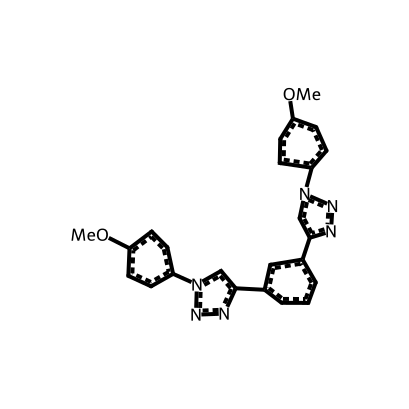 COc1ccc(-n2cc(-c3cccc(-c4cn(-c5ccc(OC)cc5)nn4)c3)nn2)cc1